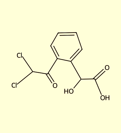 O=C(c1ccccc1C(O)C(=O)O)C(Cl)Cl